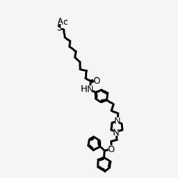 CC(=O)SCCCCCCCCCCC(=O)Nc1ccc(CCCN2CCN(CCOC(c3ccccc3)c3ccccc3)CC2)cc1